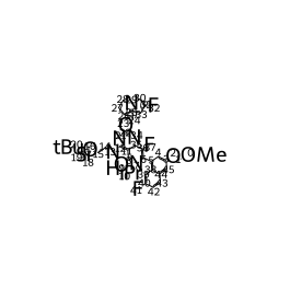 COCOc1cc(-c2nc(OC(C)C)c3c(NCCO[Si](C)(C)C(C)(C)C)nc(OC[C@@]45CCCN4C[C@H](F)C5)nc3c2F)c2cc(F)ccc2c1